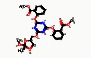 COC(=O)c1ccccc1Oc1nc(OCC2COC(C)(OC)O2)nc(Oc2ccccc2C(=O)OC)n1